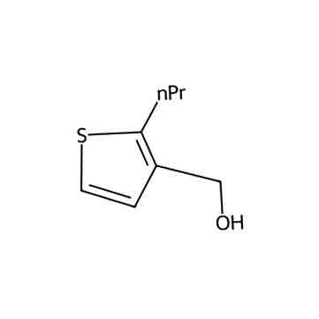 CCCc1sccc1CO